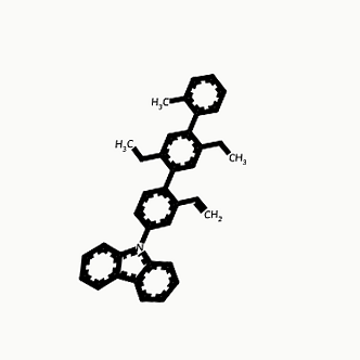 C=Cc1cc(-n2c3ccccc3c3ccccc32)ccc1-c1cc(CC)c(-c2ccccc2C)cc1CC